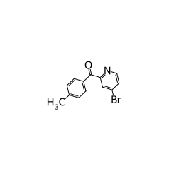 Cc1ccc(C(=O)c2cc(Br)ccn2)cc1